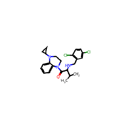 CC(C)C(NCc1cc(Cl)ccc1Cl)C(=O)N1CCN(C2CC2)c2ccccc21